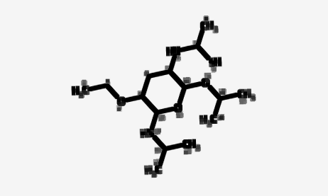 CCOC1CC(NC(C)S)C(OC(C)C)OC1NC(C)C